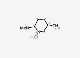 CN[C@H]1CC[C@@H](C)CN1C